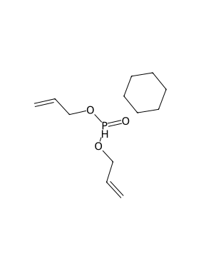 C1CCCCC1.C=CCO[PH](=O)OCC=C